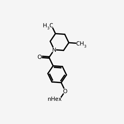 CCCCCCOc1ccc(C(=O)N2CC(C)CC(C)C2)cc1